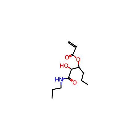 C=CC(=O)OC(CCC)C(O)C(=O)NCCC